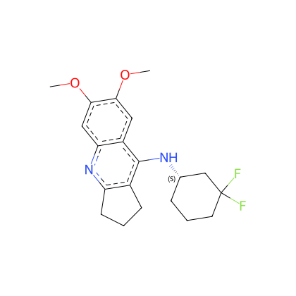 COc1cc2nc3c(c(N[C@H]4CCCC(F)(F)C4)c2cc1OC)CCC3